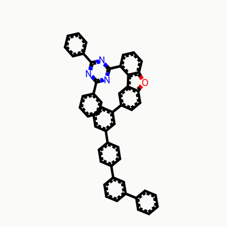 c1ccc(-c2cccc(-c3ccc(-c4cccc(-c5ccc6oc7cccc(-c8nc(-c9ccccc9)nc(-c9ccccc9)n8)c7c6c5)c4)cc3)c2)cc1